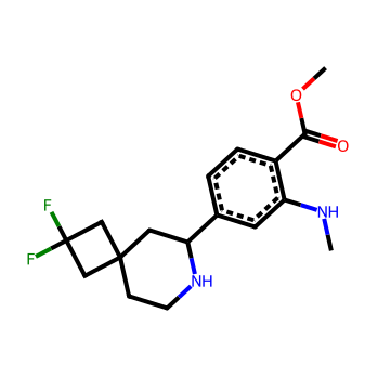 CNc1cc(C2CC3(CCN2)CC(F)(F)C3)ccc1C(=O)OC